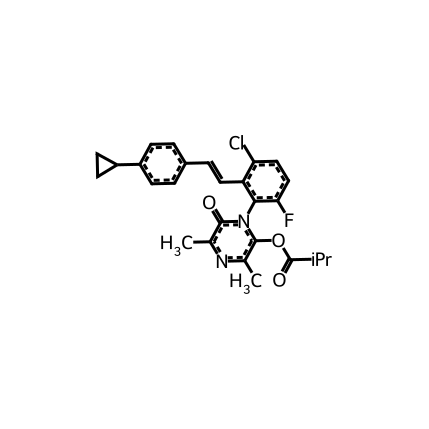 Cc1nc(C)c(=O)n(-c2c(F)ccc(Cl)c2/C=C/c2ccc(C3CC3)cc2)c1OC(=O)C(C)C